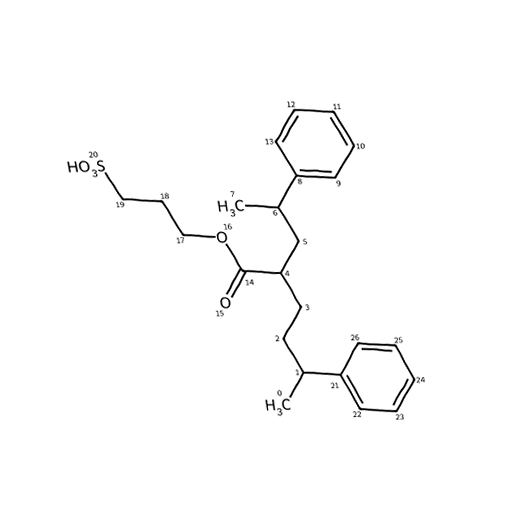 CC(CCC(CC(C)c1ccccc1)C(=O)OCCCS(=O)(=O)O)c1ccccc1